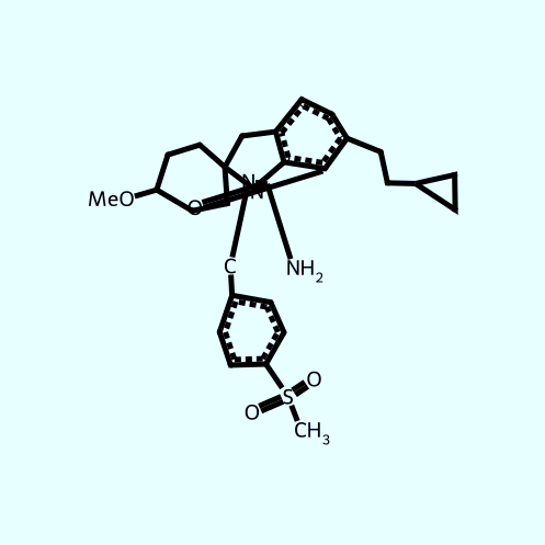 COC1CCC2(CC1)Cc1ccc(CCC3CC3)cc1C21N=C(N)N(Cc2ccc(S(C)(=O)=O)cc2)C1=O